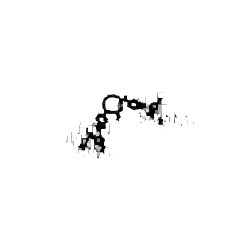 C/C=C1\C=C(\c2ccc3[nH]c([C@@H]4CC(=C(F)F)CN4C(=O)[C@@H](NC(=O)OC)C(C)C)nc3c2)[C@H](C)CC[C@@H](C)/C=C\C(=C(/C)c2ccc3[nH]c([C@@H]4CC(=C(F)F)CN4C(=O)[C@@H](NC(=O)OC)C(C)C)nc3c2)CC1